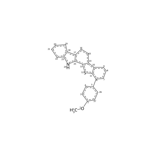 COc1ccc(-c2cccc3c2sc2c3ccc3c4ccccc4[nH]c32)cc1